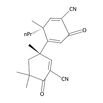 CCC[C@]1(C)C=C(C#N)C(=O)C=C1[C@]1(C)C=C(C#N)C(=O)C(C)(C)C1